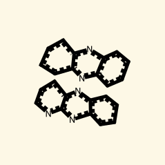 c1ccc2nc3ccccc3nc2c1.c1ccc2nc3ncccc3nc2c1